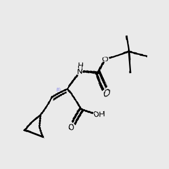 CC(C)(C)OC(=O)N/C(=C/C1CC1)C(=O)O